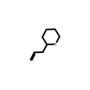 C=CCC1CCCCS1